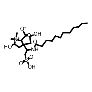 CCCCCCCCCCCC(=O)NC(CS(=O)(=O)O)C(CCO)(CCO)C(C(=O)[O-])[N+](C)(C)C